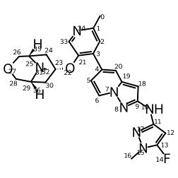 Cc1cc(-c2ccn3nc(Nc4cc(F)n(C)n4)cc3c2)c(O[C@H]2C[C@H]3COC[C@@H](C2)N3C)cn1